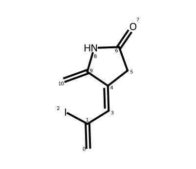 C=C(I)/C=C1/CC(=O)NC1=C